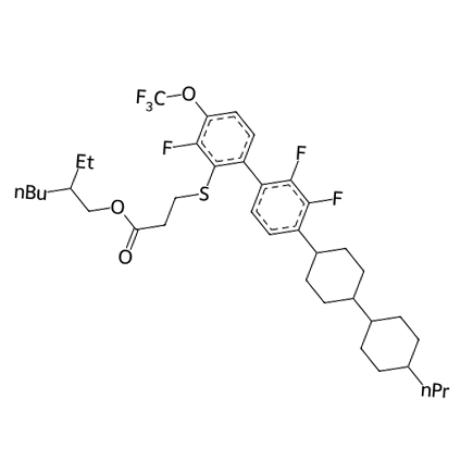 CCCCC(CC)COC(=O)CCSc1c(-c2ccc(C3CCC(C4CCC(CCC)CC4)CC3)c(F)c2F)ccc(OC(F)(F)F)c1F